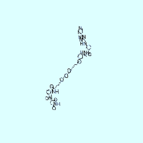 C[C@H](NC(=O)c1cccc(NCc2nnc(-c3ccncn3)n2C)c1)c1cccc(OCCCCCCOCCOCCOCCCCCC(=O)Nc2cccc3c2CN(C2CCC(=O)NC2=O)C3=O)c1